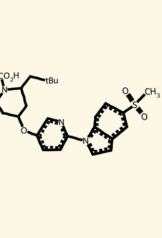 CC(C)(C)CC1CC(Oc2ccc(-n3ccc4cc(S(C)(=O)=O)ccc43)nc2)CCN1C(=O)O